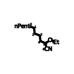 CCCCCCCCCC(C#N)OCC